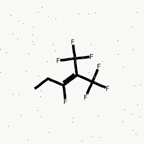 CCC(F)=C(C(F)(F)F)C(F)(F)F